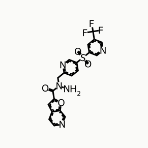 NN(Cc1ccc(S(=O)(=O)c2cncc(C(F)(F)F)c2)cn1)C(=O)c1cc2ccncc2o1